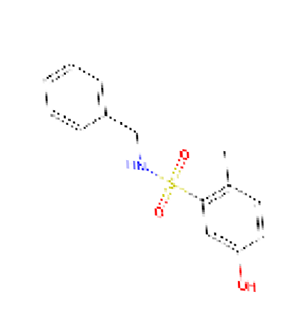 Cc1ccc(O)cc1S(=O)(=O)NCc1ccccc1